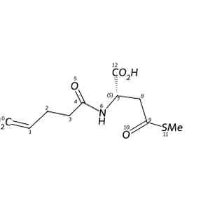 C=CCCC(=O)N[C@@H](CC(=O)SC)C(=O)O